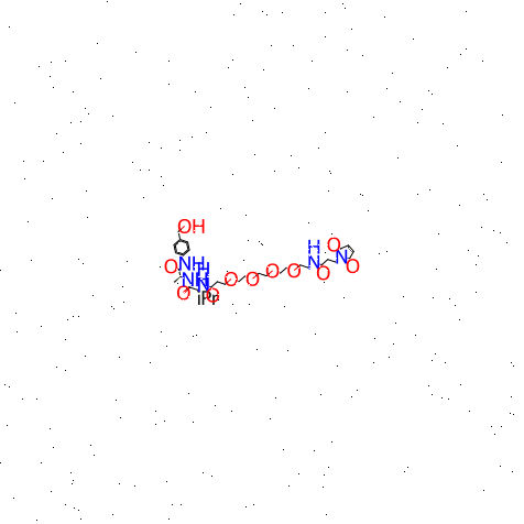 CC(C)C(NC(=O)CCOCCOCCOCCOCCNC(=O)CCN1C(=O)C=CC1=O)C(=O)N[C@@H](C)C(=O)Nc1ccc(CO)cc1